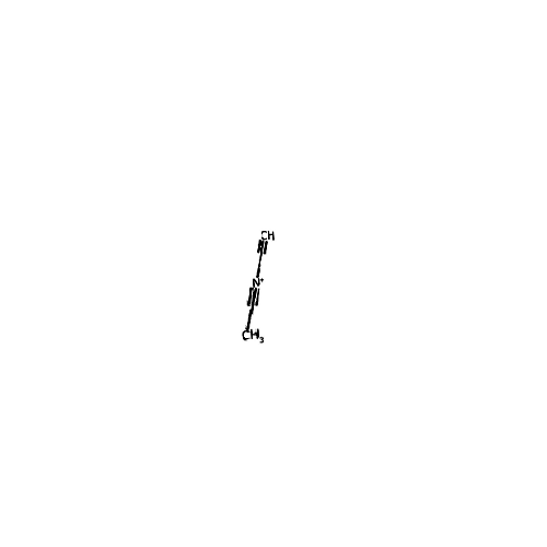 C#C[N+]#CC